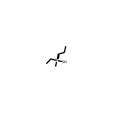 CCC=P(C)(S)CC